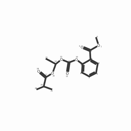 COC(=O)c1ccccc1OC(=O)OC(C)OC(=O)C(C)C